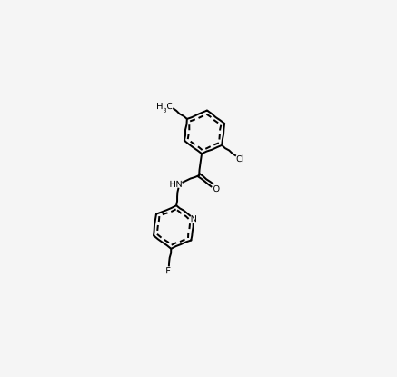 Cc1ccc(Cl)c(C(=O)Nc2ccc(F)cn2)c1